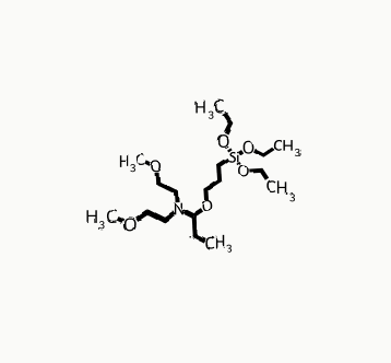 C[CH]C(OCCC[Si](OCC)(OCC)OCC)N(CCOC)CCOC